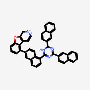 C1=Cc2c(oc3cccc(-c4ccc5c(C6=NC(c7ccc8ccccc8c7)=NC(c7ccc8ccccc8c7)N6)cccc5c4)c23)CN1